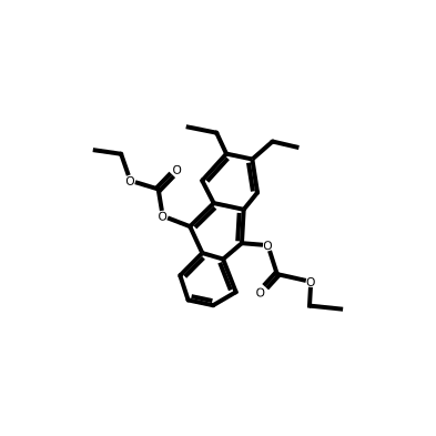 CCOC(=O)Oc1c2ccccc2c(OC(=O)OCC)c2cc(CC)c(CC)cc12